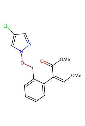 COC=C(C(=O)OC)c1ccccc1COn1cc(Cl)cn1